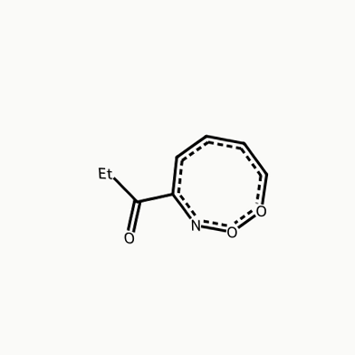 CCC(=O)c1ccccoon1